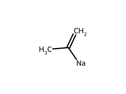 C=[C](C)[Na]